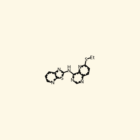 CCSc1ccc2ncnc(Nc3nc4cccnc4s3)c2n1